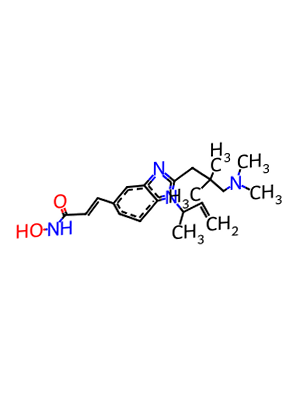 C=CC(C)n1c(CC(C)(C)CN(C)C)nc2cc(/C=C/C(=O)NO)ccc21